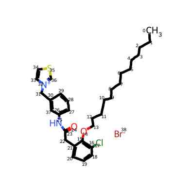 CCCCCCCCCCCCCCOc1c(Cl)cccc1CC(=O)Nc1cccc(C[n+]2ccsc2)c1.[Br-]